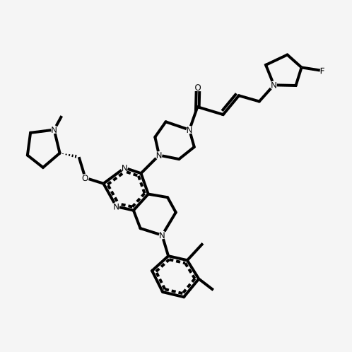 Cc1cccc(N2CCc3c(nc(OC[C@@H]4CCCN4C)nc3N3CCN(C(=O)/C=C/CN4CCC(F)C4)CC3)C2)c1C